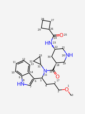 COCCCC(c1c[nH]c2ccccc12)N(C(=O)[C@@H]1CNC[C@H](NC(=O)C2CCC2)C1)C1CC1